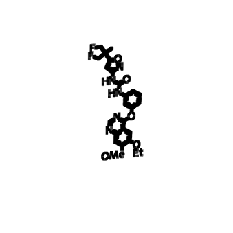 CCOc1cc2c(Oc3cccc(NC(=O)Nc4cc(C(C)(CF)CF)on4)c3)ncnc2cc1OC